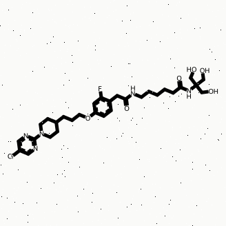 O=C(Cc1ccc(OCCCC2CCN(c3ncc(Cl)cn3)CC2)cc1F)NCCCCCC(=O)NC(CO)(CO)CO